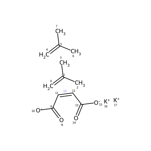 C=C(C)C.C=C(C)C.O=C([O-])/C=C\C(=O)[O-].[K+].[K+]